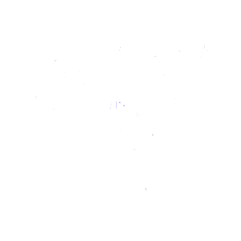 CC(=O)S[C@@H](CCc1ccccc1)[C@H](CCS(=O)(=O)OCC(C)(C)C)NC(=O)OCc1ccccc1